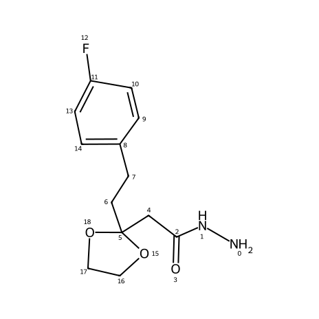 NNC(=O)CC1(CCc2ccc(F)cc2)OCCO1